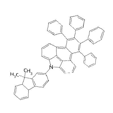 CC1(C)c2cc(-n3c4cccc5c6c(-c7ccccc7)c(-c7ccccc7)c(-c7ccccc7)c(-c7ccccc7)c6c6cccc3c6c54)ccc2C2C=CC=CC21